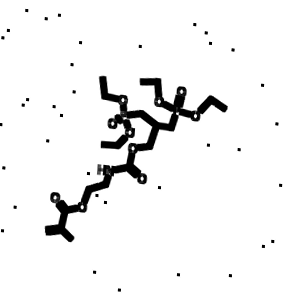 C=C(C)C(=O)OCCNC(=O)OCC(CP(=O)(OCC)OCC)CP(=O)(OCC)OCC